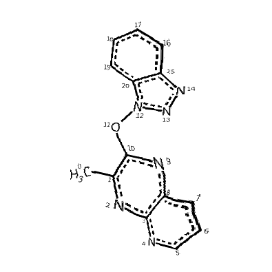 Cc1nc2ncccc2nc1On1nnc2ccccc21